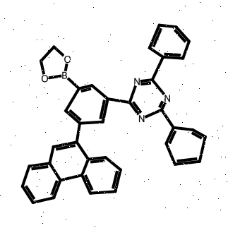 c1ccc(-c2nc(-c3ccccc3)nc(-c3cc(B4OCCO4)cc(-c4cc5ccccc5c5ccccc45)c3)n2)cc1